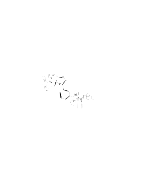 CC(C)(C)NS(=O)(=O)c1cccc(-c2ccc3cnc(S(C)(=O)=O)nn23)c1